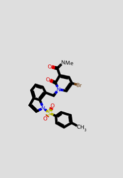 CNC(=O)c1cc(Br)cn(Cc2cccc3ccn(S(=O)(=O)c4ccc(C)cc4)c23)c1=O